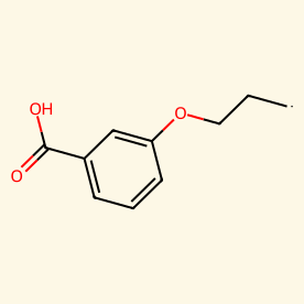 [CH2]CCOc1cccc(C(=O)O)c1